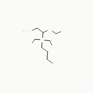 CCOC(CC)[Si](CC)(CC)CCCI